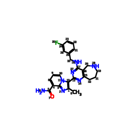 Cc1nc2c(C(N)=O)cccn2c1-c1nc2c(c(NCc3cccc(F)c3)n1)CNCCC2